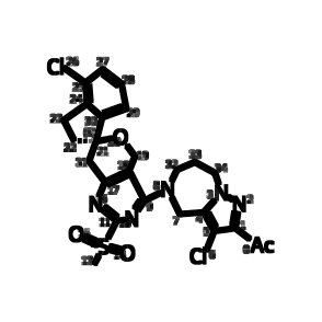 CC(=O)c1nn2c(c1Cl)CN(c1nc(S(C)(=O)=O)nc3c1CO[C@@]1(CCc4c(Cl)cccc41)C3)CCC2